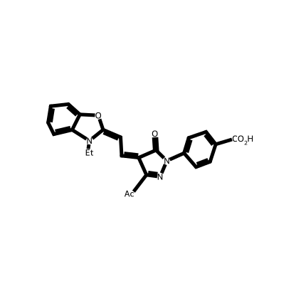 CCN1C(=CC=C2C(=O)N(c3ccc(C(=O)O)cc3)N=C2C(C)=O)Oc2ccccc21